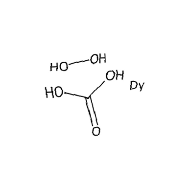 O=C(O)O.OO.[Dy]